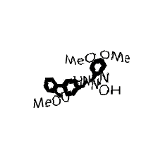 COC(=O)c1ccccc1-c1ccc(CNc2nc(O)nc3cc(OC)c(OC)cc23)cc1